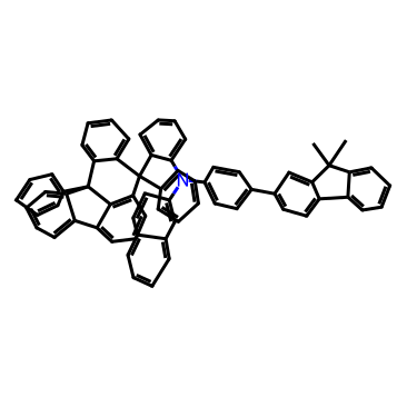 CC1(C)c2ccccc2-c2ccc(-c3ccc(N(c4ccc5ccccc5c4)c4ccccc4C4(c5ccccc5)c5ccccc5C5(c6ccccc6)c6ccccc6-c6cccc4c65)cc3)cc21